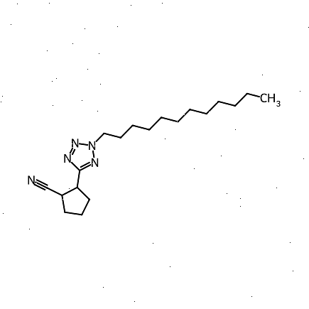 CCCCCCCCCCCCn1nnc(C2CCCC2C#N)n1